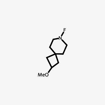 COC1CC2(CCN(F)CC2)C1